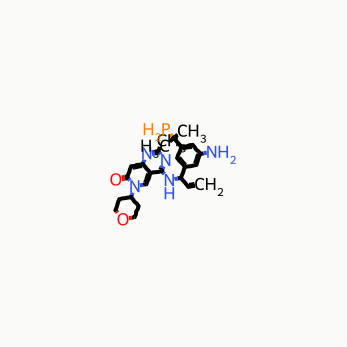 C=CC(Nc1nc(C)nc2cc(=O)n(C3CCOCC3)cc12)c1cc(N)cc(C(C)(C)P)c1